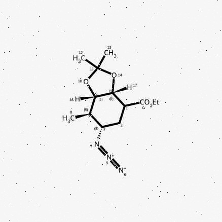 CCOC(=O)C1C[C@H](N=[N+]=[N-])[C@@H](C)[C@@H]2OC(C)(C)O[C@H]12